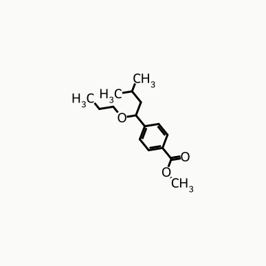 CCCOC(CC(C)C)c1ccc(C(=O)OC)cc1